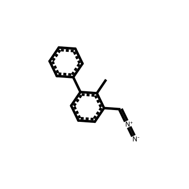 Cc1c(C=[N+]=[N-])cccc1-c1ccccc1